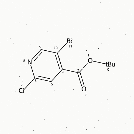 CC(C)(C)OC(=O)c1cc(Cl)ncc1Br